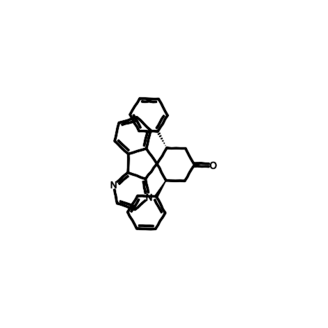 O=C1C[C@@H](c2ccccc2)C2(c3ccccc3-c3nccnc32)[C@H](c2ccccc2)C1